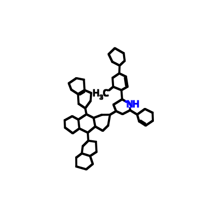 CC1CC(C2CCCCC2)C=CC1C1CC(C2CCC3C(C2)C(C2CCC4=C(CCCC4)C2)C2CCCCC2C3C2CCC3CCCCC3C2)CC(C2C=CCCC2)N1